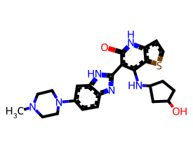 CN1CCN(c2ccc3nc(-c4c(NC5CCC(O)C5)c5sccc5[nH]c4=O)[nH]c3c2)CC1